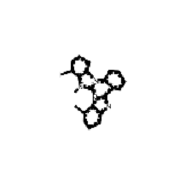 Cc1cccc2nc3c4ccccc4n4c5cccc(I)c5[n+](C)c4n3c12